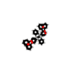 c1ccc(-c2ccc(N3c4ccccc4N(c4cccc(-c5ccccc5)c4)C34N(c3ccc(-c5ccccc5)cc3)c3ccccc3N4c3cccc(-c4ccccc4)c3)cc2)cc1